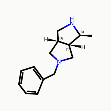 C[C@@H]1NC[C@H]2CN(Cc3ccccc3)C[C@H]21